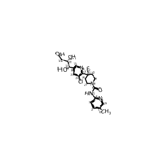 Cc1ccc(NC(=O)N2CCC(F)(c3ncc([C@H](O)[C@@H](O)CO)cc3Cl)CC2)nc1